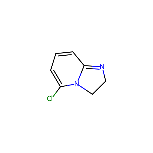 ClC1=CC=CC2=NCCN12